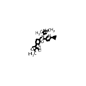 Cc1nn(C)cc1N(Cc1ccc2c3c(c(Cl)nc2c1)C(C)OC3)C(=O)c1ccc(C2CC2)nc1